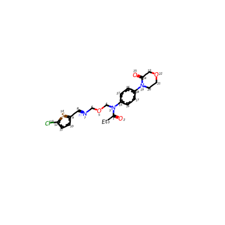 CCC(=O)N(COC/N=C/c1ccc(Cl)s1)c1ccc(N2CCOCC2=O)cc1